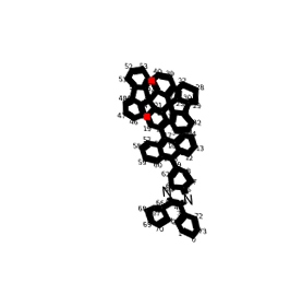 c1ccc(-c2nc3ccc(-c4c5ccccc5c(-c5ccc6c(c5)C5(c7ccccc7-c7ccccc75)c5ccccc5C65c6ccccc6-c6ccccc65)c5ccccc45)cc3nc2-c2ccccc2)cc1